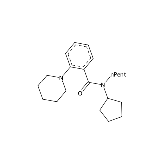 CCCCCN(C(=O)c1ccccc1N1CCCCC1)C1CCCC1